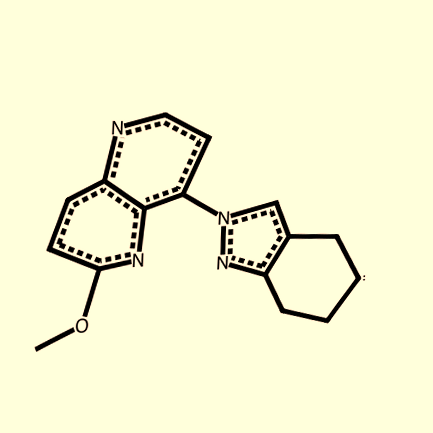 COc1ccc2nccc(-n3cc4c(n3)CC[C]C4)c2n1